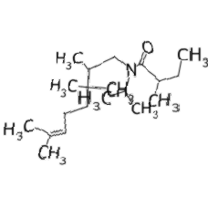 CCC(C)C(=O)N(CC(C)C(C)(C)CCC=C(C)C)C(C)C